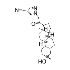 CC12CC[C@@H]3C4CC[C@@](C)(O)CC4CC[C@H]3[C@@H]1CCC2C(=O)Cn1cc(C#N)cn1